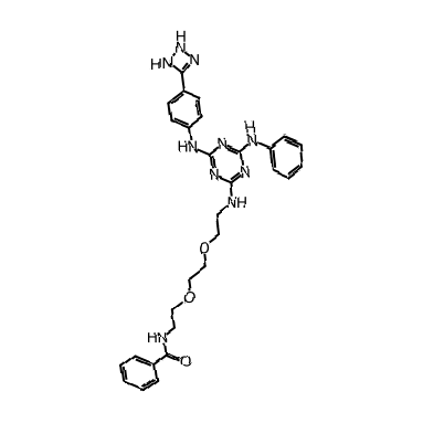 O=C(NCCOCCOCCNc1nc(Nc2ccccc2)nc(Nc2ccc(-c3n[nH][nH]3)cc2)n1)c1ccccc1